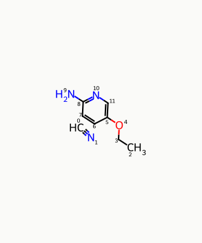 C#N.CCOc1ccc(N)nc1